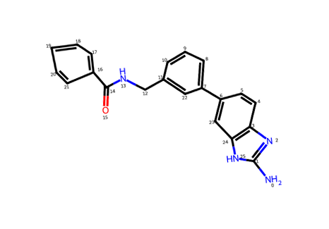 Nc1nc2ccc(-c3cccc(CNC(=O)c4ccccc4)c3)cc2[nH]1